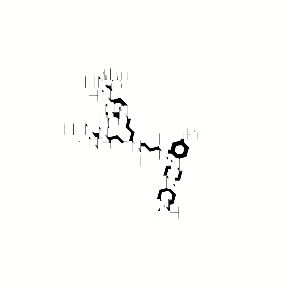 CC(C)c1ccc(N2CCN(C3CCN(C)CC3)CC2)c(NCCCN[C@@H](CCCNC(=N)N)CCCn2ccc(NC(=O)NC(C)(C)C)nc2=O)c1